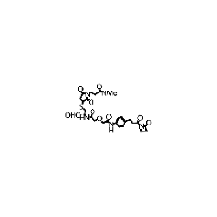 CNC(=O)CCN1C(=O)CC(SC[C@@H](C=O)NC(=O)COCC(=O)Nc2ccc(CCC(=O)N3CCC3=O)cc2)C1=O